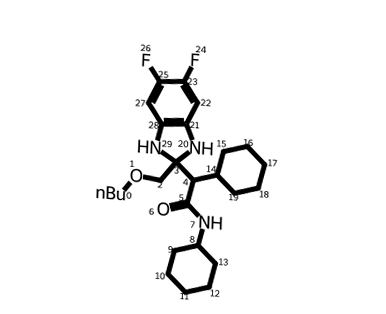 CCCCOCC1(C(C(=O)NC2CCCCC2)C2CCCCC2)Nc2cc(F)c(F)cc2N1